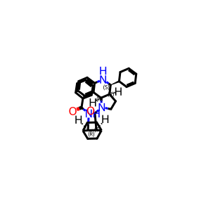 O=C(N[C@@H]1C2CCC(CC2)[C@@H]1C(=O)N1CC[C@@H]2[C@H](C3C=CC=CC3)Nc3ccccc3[C@@H]21)c1ccccc1